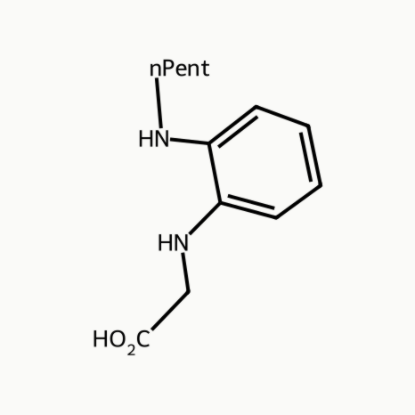 CCCCCNc1ccccc1NCC(=O)O